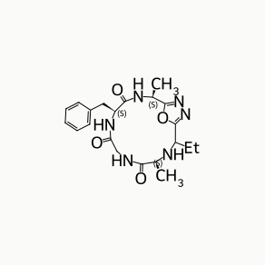 CCC1N[C@@H](C)C(=O)NCC(=O)N[C@@H](Cc2ccccc2)C(=O)N[C@@H](C)c2nnc1o2